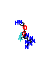 Cn1cnc2c(-c3cnc(OCCOC4CCNCC4)c(C(F)(F)F)c3)nc(C#N)nc21